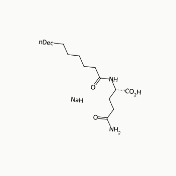 CCCCCCCCCCCCCCCC(=O)N[C@@H](CCC(N)=O)C(=O)O.[NaH]